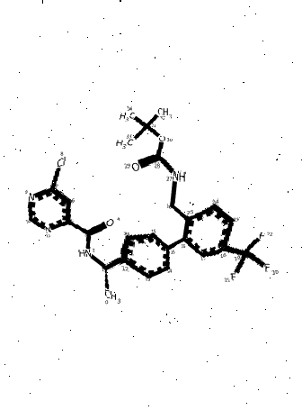 C[C@@H](NC(=O)c1cc(Cl)ncn1)c1ccc(-c2cc(C(F)(F)F)ccc2CNC(=O)OC(C)(C)C)cc1